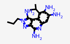 CCCn1nc2c(N)nc3cc(N)c(N)c(C(C)C)c3c2c1N